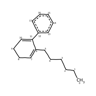 CCCCCCC1=CCCC=C1c1ccccc1